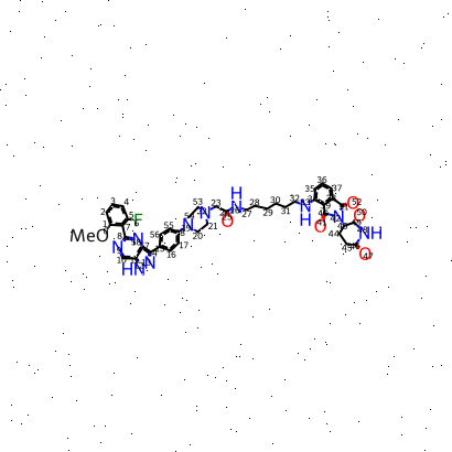 COc1cccc(F)c1-c1ncc2[nH]nc(-c3ccc(N4CCN(CC(=O)NCCCCCCNc5cccc6c5C(=O)N(C5CCC(=O)NC5=O)C6=O)CC4)cc3)c2n1